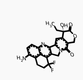 CC[C@@]1(O)C(=O)OCc2c1cc1n(c2=O)Cc2c-1nc1ccc(N)c3c1c2C(F)(F)CC3